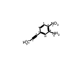 CC#Cc1ccc([N+](=O)[O-])c(N)c1